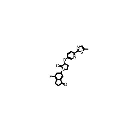 Cc1cnc(-c2ccc(O[C@@H]3CCN(c4cc(F)c5c(c4)C(=O)CC5)C3=O)cn2)s1